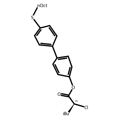 CCCCCCCCSc1ccc(-c2ccc(OC(=O)[C@@H](Cl)C(C)CC)cc2)cc1